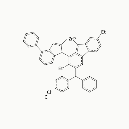 CCc1ccc2c(c1)[C]([Zr+2])=c1c-2cc(=C(c2ccccc2)c2ccccc2)c(CC)c1C1C(C)=Cc2c(-c3ccccc3)cccc21.[Cl-].[Cl-]